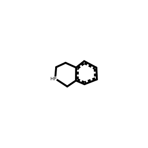 c1ccc2c(c1)CCPC2